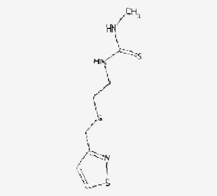 CNC(=S)NCCSCc1ccsn1